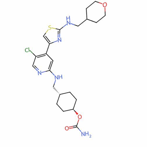 NC(=O)O[C@H]1CC[C@H](CNc2cc(-c3csc(NCC4CCOCC4)n3)c(Cl)cn2)CC1